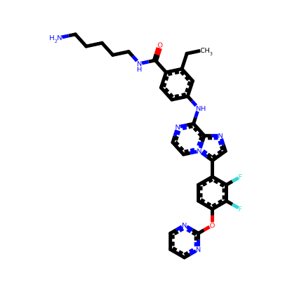 CCc1cc(Nc2nccn3c(-c4ccc(Oc5ncccn5)c(F)c4F)cnc23)ccc1C(=O)NCCCCCN